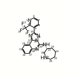 FC(F)(F)c1ncccc1-c1nc2c3ccccc3nc(N[C@@H]3CCCCNC3)n2n1